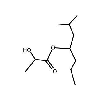 CCCC(CC(C)C)OC(=O)C(C)O